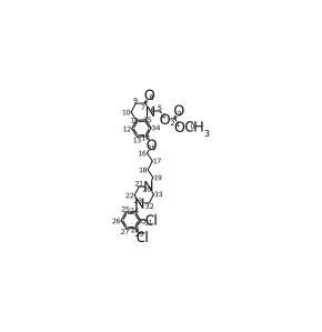 COC(=O)OCN1C(=O)CCc2ccc(OCCCCN3CCN(c4cccc(Cl)c4Cl)CC3)cc21